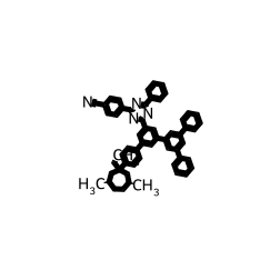 CCC1(c2ccc(-c3cc(-c4cc(-c5ccccc5)cc(-c5ccccc5)c4)cc(-c4nc(-c5ccccc5)nc(-c5ccc(C#N)cc5)n4)c3)cc2)C[C@H](C)CC[C@H](C)C1